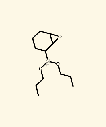 CCCO[SiH](OCCC)C1CCCC2OC21